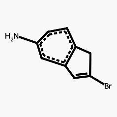 Nc1ccc2c(c1)C=C(Br)C2